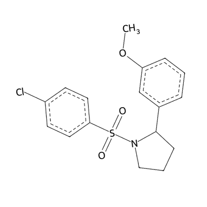 COc1cccc(C2CCCN2S(=O)(=O)c2ccc(Cl)cc2)c1